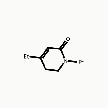 CCC1=CC(=O)N(C(C)C)CC1